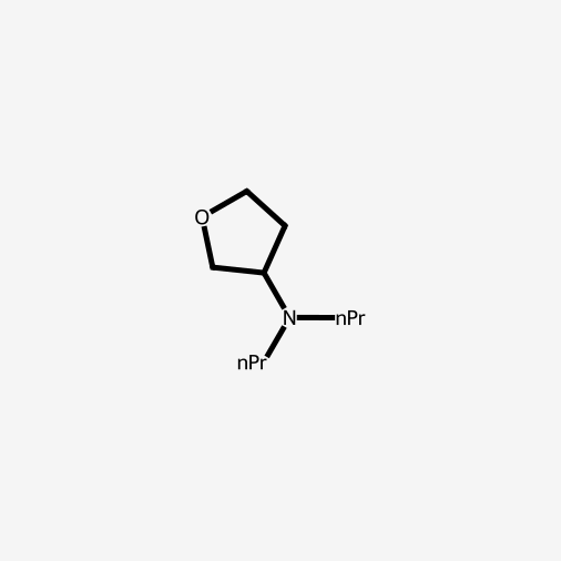 CCCN(CCC)C1CCOC1